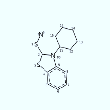 [N]SC1Sc2ccccc2N1C1CCCCC1